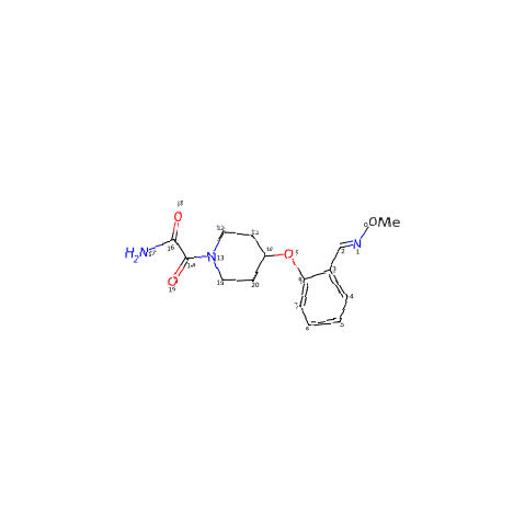 CON=Cc1ccccc1OC1CCN(C(=O)C(N)=O)CC1